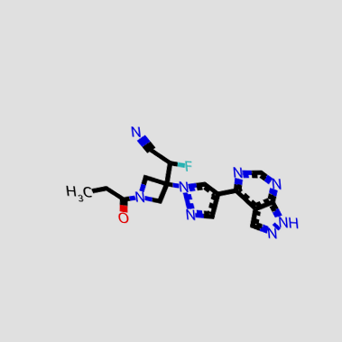 CCC(=O)N1CC(C(F)C#N)(n2cc(-c3ncnc4[nH]ncc34)cn2)C1